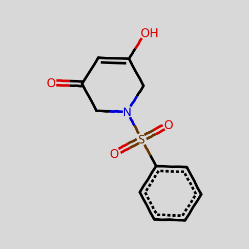 O=C1C=C(O)CN(S(=O)(=O)c2ccccc2)C1